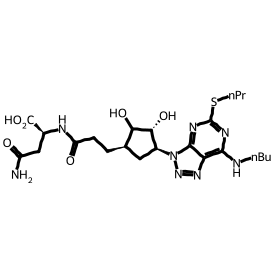 CCCCNc1nc(SCCC)nc2c1nnn2[C@H]1C[C@@H](CCC(=O)N[C@@H](CC(N)=O)C(=O)O)C(O)[C@@H]1O